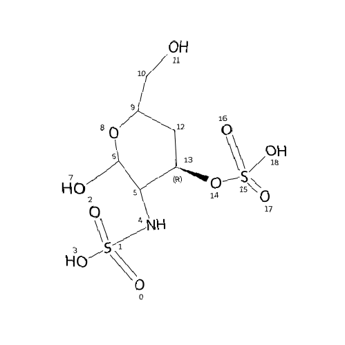 O=S(=O)(O)NC1C(O)OC(CO)C[C@H]1OS(=O)(=O)O